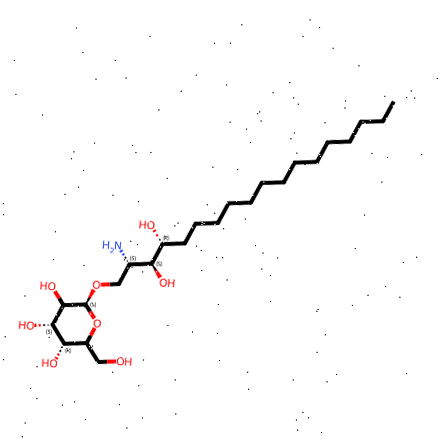 CCCCCCCCCCCCCC[C@@H](O)[C@@H](O)[C@@H](N)CO[C@H]1OC(CO)[C@H](O)[C@H](O)C1O